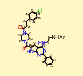 CC(=O)NCCNc1nc(-c2ccccc2)nc2[nH]c(C(=O)N3CCN(C(=O)CCc4ccc(Cl)cc4)CC3)cc12